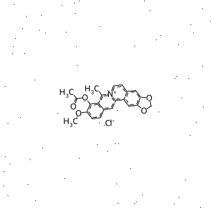 COc1ccc2cc3c4cc5c(cc4cc[n+]3c(C)c2c1OC(C)=O)OCO5.[Cl-]